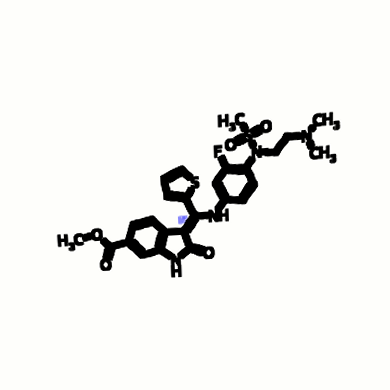 COC(=O)c1ccc2c(c1)NC(=O)/C2=C(\Nc1ccc(N(CCN(C)C)S(C)(=O)=O)c(F)c1)c1cccs1